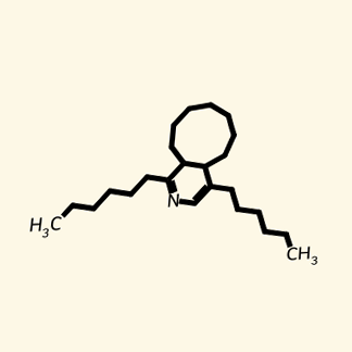 CCCCCCC1=CN=C(CCCCCC)C2CCCCCCCC12